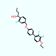 CCCC(O)c1ccc(COc2ccc(-c3ccc(OCC)c(F)c3F)cc2)cc1F